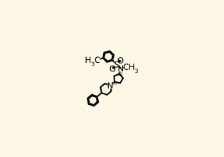 Cc1cccc(S(=O)(=O)N(C)[C@H]2CC[C@@H](N3CCC(c4ccccc4)CC3)C2)c1